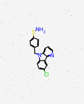 NSc1ccc(Cn2c3ccc(Cl)cc3c3ncccc32)cc1